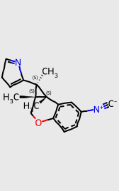 [C-]#[N+]c1ccc2c(c1)[C@]1(C)[C@](C)(CO2)[C@@]1(C)C1=CCC=N1